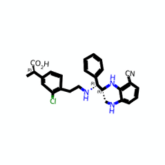 C[C@@H](C(=O)O)c1ccc(CCN[C@H](c2ccccc2)[C@H]2CNc3cccc(C#N)c3N2)c(Cl)c1